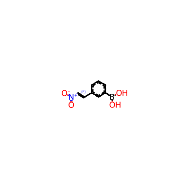 O=[N+]([O-])/C=C/c1cccc(B(O)O)c1